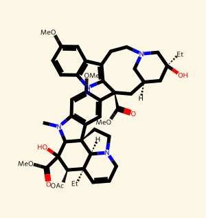 CC[C@]1(O)C[C@@H]2CN(CCc3c([nH]c4ccc(OC)cc34)[C@@](C(=O)OC)(c3cc4c(cc3OC)N(C)C3C(O)(C(=O)OC)[C@H](OC(C)=O)[C@]5(CC)C=CCN6CC[C@]43[C@@H]65)C2)C1